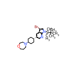 CC(C)(C)[Si](C)(C)n1cc(Br)c2cc([C@H]3CC[C@H](N4CCCOCC4)CC3)cnc21